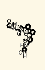 COc1nc(-c2cccc(-c3cccc(-c4cnc(CNC[C@@H]5CCC(=O)N5)c(OC)n4)c3Cl)c2Cl)ccc1CN[C@@H]1CNC(=O)C1